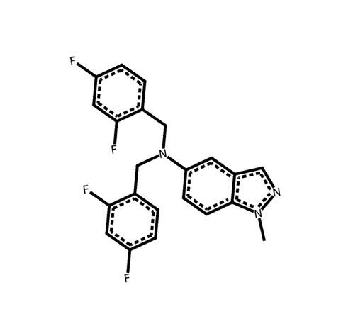 Cn1ncc2cc(N(Cc3ccc(F)cc3F)Cc3ccc(F)cc3F)ccc21